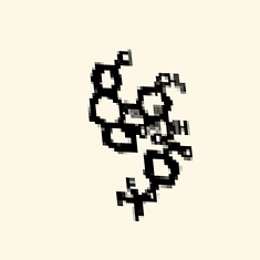 CN1C[C@@H](NS(=O)(=O)c2ccc(OC(F)(F)F)cc2)[C@H](O)[C@@H](N2c3ccccc3CCc3ccc(Cl)cc32)C1